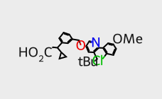 COc1ccc(Cl)c(-c2ncc(OCc3cccc(C(CC(=O)O)C4CC4)c3)cc2CC(C)(C)C)c1